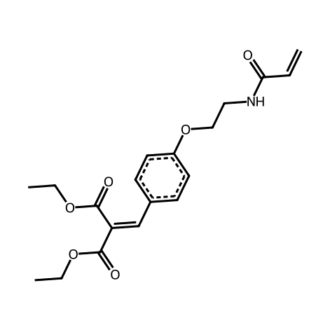 C=CC(=O)NCCOc1ccc(C=C(C(=O)OCC)C(=O)OCC)cc1